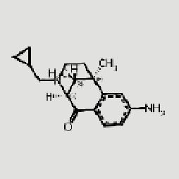 C[C@H]1[C@H]2C(=O)c3ccc(N)cc3[C@]1(C)CCN2CC1CC1